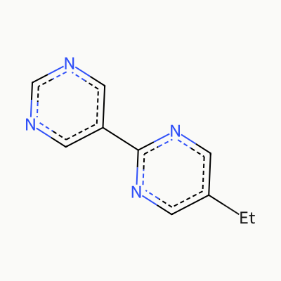 CCc1cnc(-c2cncnc2)nc1